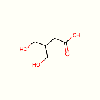 O=C(O)CC(CO)CO